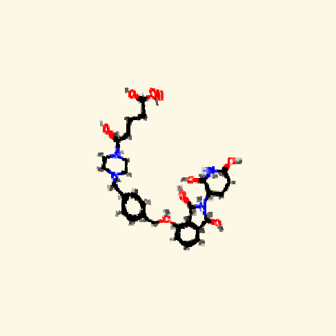 O=C(O)CCCC(=O)N1CCN(Cc2ccc(COc3cccc4c3C(=O)N(C3CCC(=O)NC3=O)C4=O)cc2)CC1